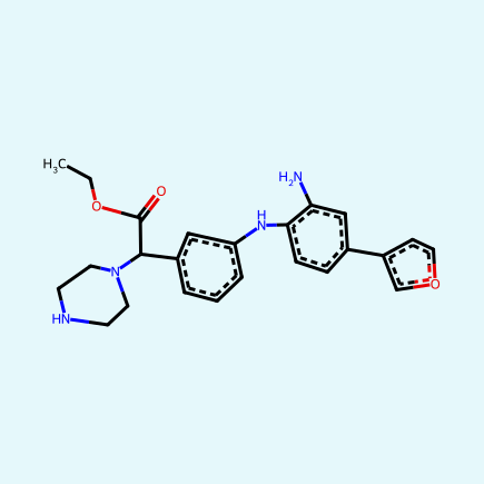 CCOC(=O)C(c1cccc(Nc2ccc(-c3ccoc3)cc2N)c1)N1CCNCC1